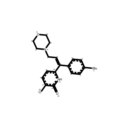 CC(C)(C)c1ccc(C(=CCN2CCOCC2)c2ccc(Cl)c(=O)[nH]2)cc1